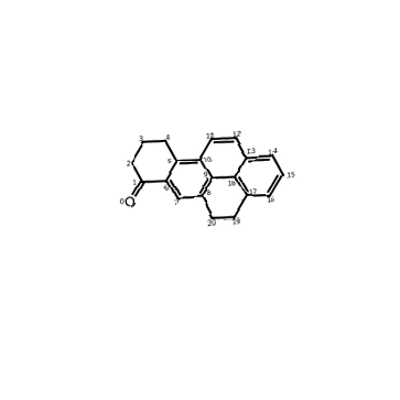 O=C1CCCc2c1cc1c3c2ccc2cccc(c23)CC1